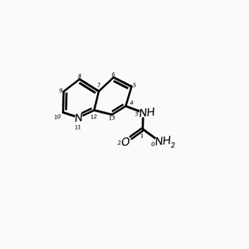 NC(=O)Nc1ccc2cccnc2c1